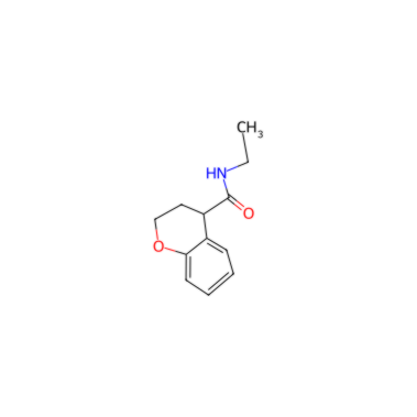 CCNC(=O)C1CCOc2ccccc21